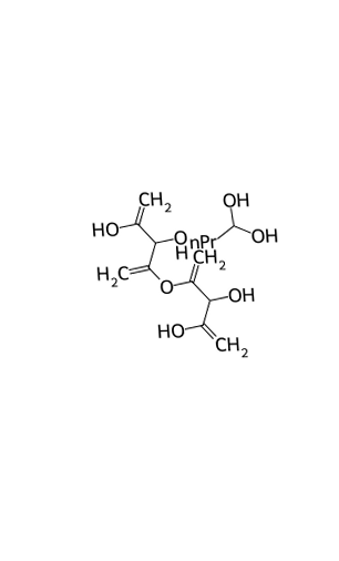 C=C(O)C(O)C(=C)OC(=C)C(O)C(=C)O.CCCC(O)O